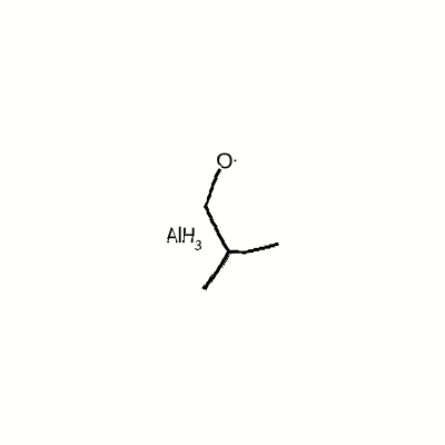 CC(C)C[O].[AlH3]